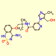 Cc1ncn(-c2cc(C(=O)NC(C)(C)COc3cccc4c3C(N)=NS(=O)(=O)N4)ccn2)c1CO